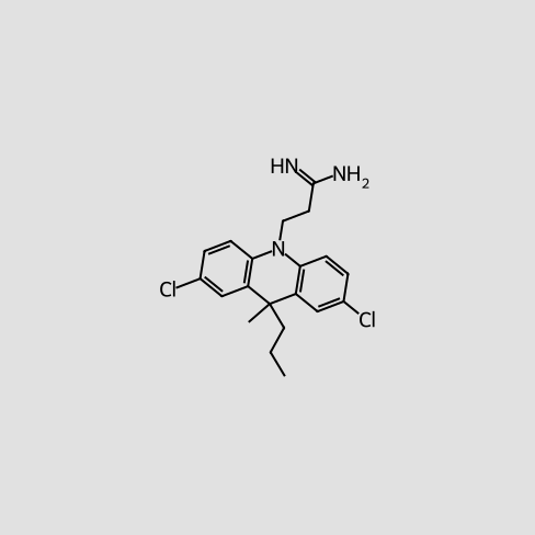 CCCC1(C)c2cc(Cl)ccc2N(CCC(=N)N)c2ccc(Cl)cc21